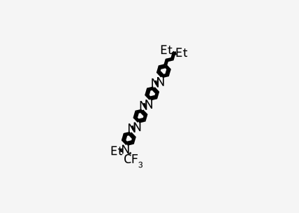 CCC(CC)CCc1ccc(/N=N/c2ccc(/N=N/c3ccc(/N=N/c4ccc(N(CC)CC(F)(F)F)cc4)cc3)cc2)cc1